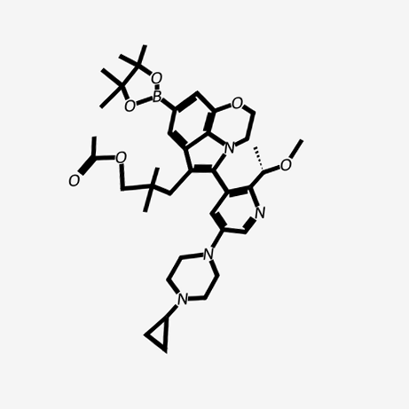 CO[C@@H](C)c1ncc(N2CCN(C3CC3)CC2)cc1-c1c(CC(C)(C)COC(C)=O)c2cc(B3OC(C)(C)C(C)(C)O3)cc3c2n1CCO3